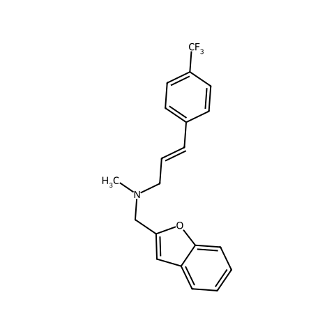 CN(C/C=C/c1ccc(C(F)(F)F)cc1)Cc1cc2ccccc2o1